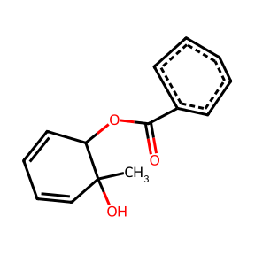 CC1(O)C=CC=CC1OC(=O)c1ccccc1